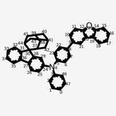 c1ccc(N(c2ccc(-c3ccc4oc5ccccc5c4c3)cc2)c2ccc3c(c2)C2(c4ccccc4-3)C3CC4CC(C3)CC2C4)cc1